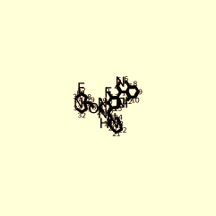 Fc1c(-c2cncc3cccc(Cl)c23)ncc2c(N3CC4CCC(C3)N4)nc(OCC34CCCN3C[C@@H](F)C4)nc12